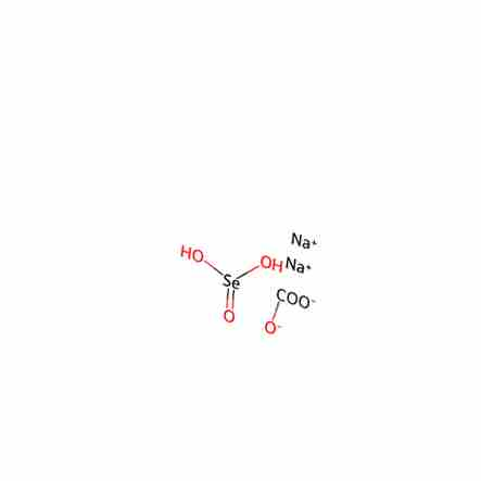 O=C([O-])[O-].O=[Se](O)O.[Na+].[Na+]